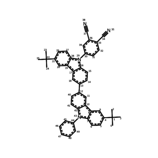 CC(C)(C)c1ccc2c(c1)c1cc(-c3ccc4c(c3)c3cc(C(C)(C)C)ccc3n4-c3ccc(C#N)c(C#N)c3)ccc1n2-c1ccccc1